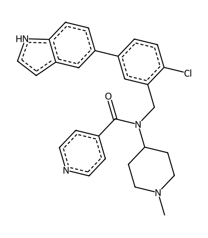 CN1CCC(N(Cc2cc(-c3ccc4[nH]ccc4c3)ccc2Cl)C(=O)c2ccncc2)CC1